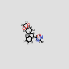 Cc1noc(CCC2(c3ccccc3)CCC3(CC2)OCCO3)n1